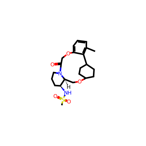 Cc1cccc2c1C1CCC(CC1)OC[C@H]1[C@@H](NS(C)(=O)=O)CCCN1C(=O)CO2